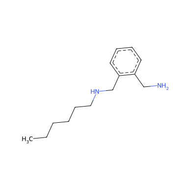 CCCCCCNCc1ccccc1CN